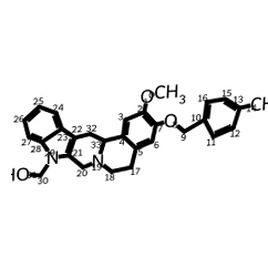 COc1cc2c(cc1OCc1ccc(C)cc1)CCN1Cc3c(c4ccccc4n3CO)CC21